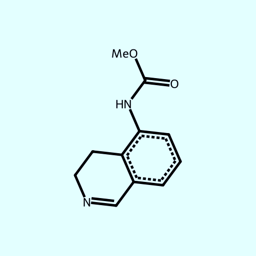 COC(=O)Nc1cccc2c1CCN=C2